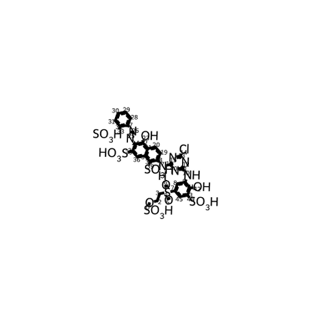 O=S(=O)(O)OCCS(=O)(=O)c1cc(Nc2nc(Cl)nc(Nc3ccc4c(O)c(/N=N/c5ccccc5S(=O)(=O)O)c(S(=O)(=O)O)cc4c3S(=O)(=O)O)n2)c(O)c(S(=O)(=O)O)c1